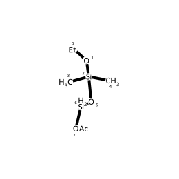 CCO[Si](C)(C)O[SiH2]OC(C)=O